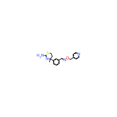 CC1(c2cccc(/C=N/OCc3ccncc3)c2)CCSC(N)=N1